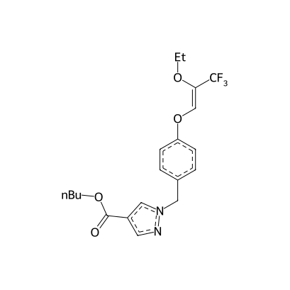 CCCCOC(=O)c1cnn(Cc2ccc(O/C=C(\OCC)C(F)(F)F)cc2)c1